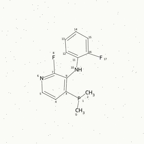 CP(C)c1ccnc(F)c1Nc1ccccc1F